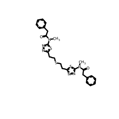 CN(C(=O)Cc1ccccc1)c1nnc(CCSCCc2nnc(N(C)C(=O)Cc3ccccc3)s2)s1